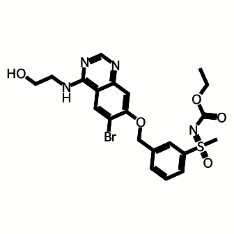 CCOC(=O)N=S(C)(=O)c1cccc(COc2cc3ncnc(NCCO)c3cc2Br)c1